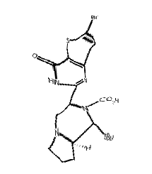 CC(C)(C)C1[C@H]2CCCN2CC(c2nc3cc(Br)sc3c(=O)[nH]2)N1C(=O)O